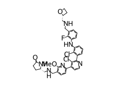 COc1nc(-c2ccnc(-c3cccc(Nc4cccc(CNC[C@H]5CCO5)c4F)c3Cl)c2Cl)ccc1CNC[C@@H]1CCC(=O)N1